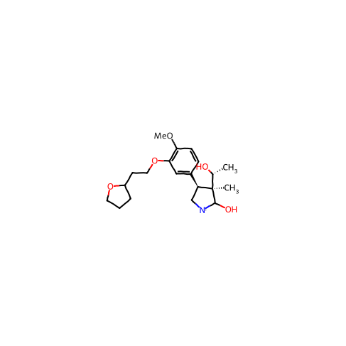 COc1ccc([C@@H]2C[N]C(O)[C@]2(C)[C@@H](C)O)cc1OCCC1CCCO1